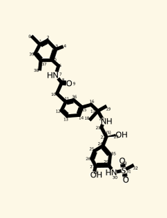 Cc1cc(C)c(CNC(=O)Cc2cccc(CC(C)(C)NC[C@@H](O)c3ccc(O)c(NS(C)(=O)=O)c3)c2)c(C)c1